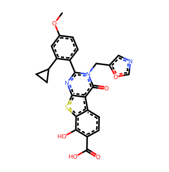 COc1ccc(-c2nc3sc4c(O)c(C(=O)O)ccc4c3c(=O)n2Cc2cnco2)c(C2CC2)c1